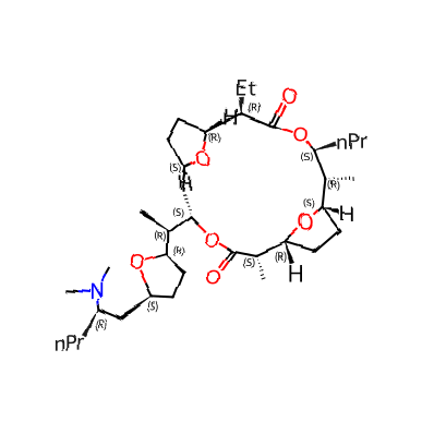 CCC[C@H](C[C@@H]1CC[C@H]([C@@H](C)[C@@H]2C[C@@H]3CC[C@@H](O3)[C@@H](CC)C(=O)O[C@@H](CCC)[C@H](C)[C@@H]3CC[C@@H](O3)[C@H](C)C(=O)O2)O1)N(C)C